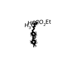 CCOC(=O)CC(C)(O)C=CCCc1ccc(OCc2ccc(F)cc2)cc1